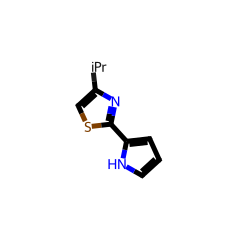 CC(C)c1csc(-c2ccc[nH]2)n1